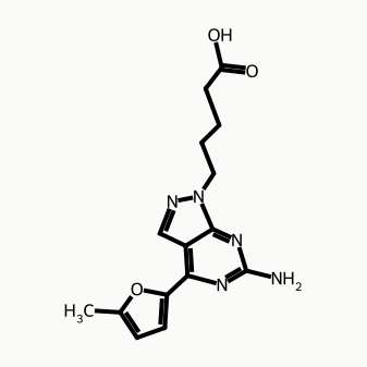 Cc1ccc(-c2nc(N)nc3c2cnn3CCCCC(=O)O)o1